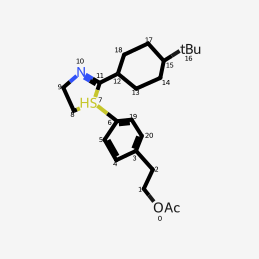 CC(=O)OCCc1ccc([SH]2CCN=C2C2CCC(C(C)(C)C)CC2)cc1